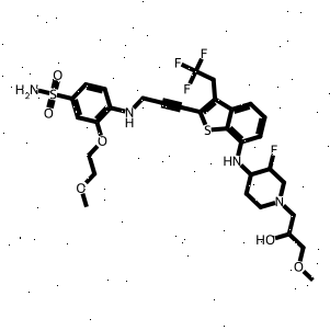 COCCOc1cc(S(N)(=O)=O)ccc1NCC#Cc1sc2c(NC3CCN(CC(O)COC)CC3F)cccc2c1CC(F)(F)F